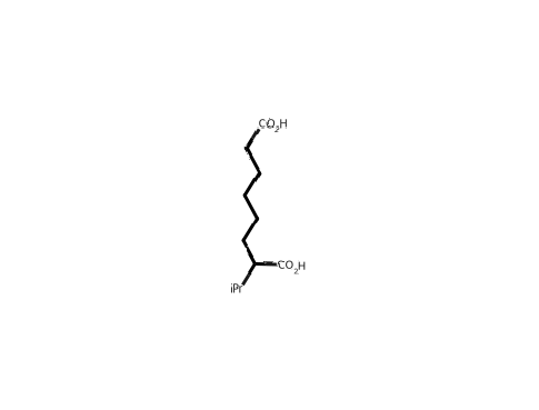 CC(C)C(CCCCCC(=O)O)C(=O)O